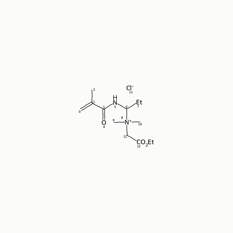 C=C(C)C(=O)NC(CC)[N+](C)(C)CC(=O)OCC.[Cl-]